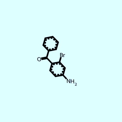 Nc1ccc(C(=O)c2ccccc2)c(Br)c1